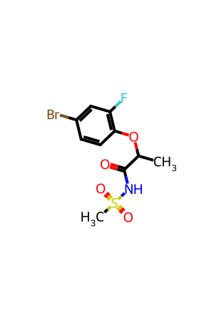 CC(Oc1ccc(Br)cc1F)C(=O)NS(C)(=O)=O